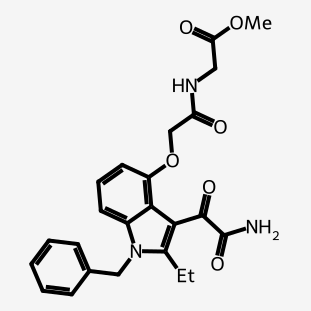 CCc1c(C(=O)C(N)=O)c2c(OCC(=O)NCC(=O)OC)cccc2n1Cc1ccccc1